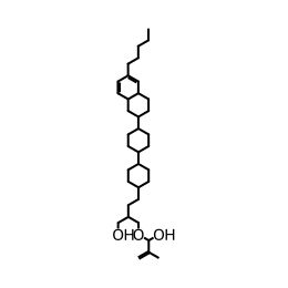 C=C(C)C(O)OCC(CO)CCC1CCC(C2CCC(C3CCC4C=C(CCCCC)C=CC4C3)CC2)CC1